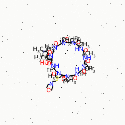 C/C=C/C[C@@H](C)[C@@H](O)[C@@H]1C(=O)N[C@H](CC)C(=O)N(C)[C@H](CSCCN2CCOCC2)C(=O)N(C)[C@@H](CC(C)C)C(=O)N[C@H](C(C)C)C(=O)N(C)[C@H](CC(C)C)C(=O)N[C@H](C)C(=O)N[C@@H](C)C(=O)N(C)[C@H](CC(C)C)C(=O)N(C)[C@H](CC(C)C)C(=O)N(C)[C@H](C(C)C)C(=O)N1C